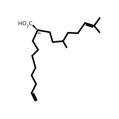 C=CCCCCCC[C@H](CCC(C)CCC=C(C)C)C(=O)O